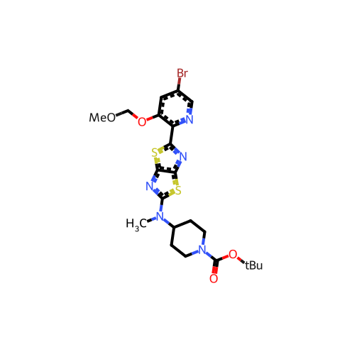 COCOc1cc(Br)cnc1-c1nc2sc(N(C)C3CCN(C(=O)OC(C)(C)C)CC3)nc2s1